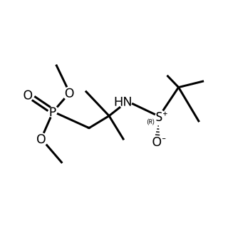 COP(=O)(CC(C)(C)N[S@@+]([O-])C(C)(C)C)OC